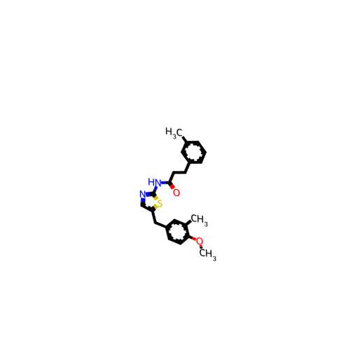 COc1ccc(Cc2cnc(NC(=O)CCc3cccc(C)c3)s2)cc1C